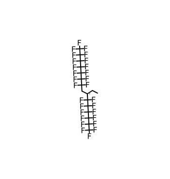 CC[C](CC(F)(F)C(F)(F)C(F)(F)C(F)(F)C(F)(F)C(F)(F)C(F)(F)F)C(F)(F)C(F)(F)C(F)(F)C(F)(F)C(F)(F)C(F)(F)F